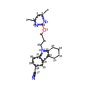 Cc1cc(C)nc(OCCCn2c3c(c4cc(C#N)ccc42)CCCC3)n1